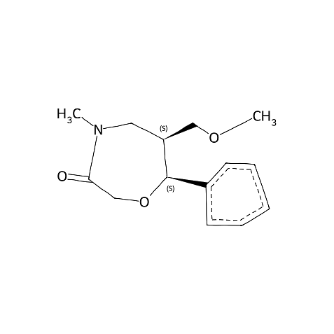 COC[C@@H]1CN(C)C(=O)CO[C@@H]1c1ccccc1